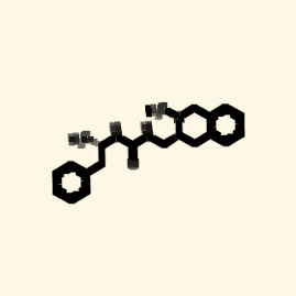 C[C@@H](Cc1ccccc1)NC(=O)NC[C@@H]1Cc2ccccc2CN1C